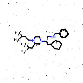 CC(C)CCN1CCN([C@@H](CNCc2ccccc2)CC2CCCCC2)C=C1CC(C)C